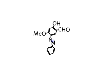 COc1cc(O)c(C=O)cc1/N=N/c1ccccc1